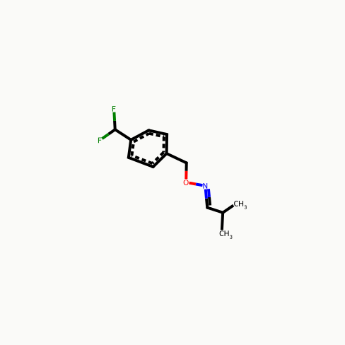 CC(C)C=NOCc1ccc(C(F)F)cc1